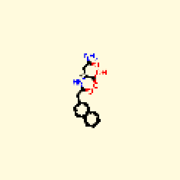 NC(=O)C[C@H](NC(=O)Cc1ccc2ccccc2c1)C(=O)O